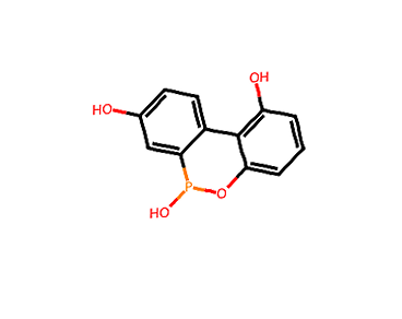 Oc1ccc2c(c1)P(O)Oc1cccc(O)c1-2